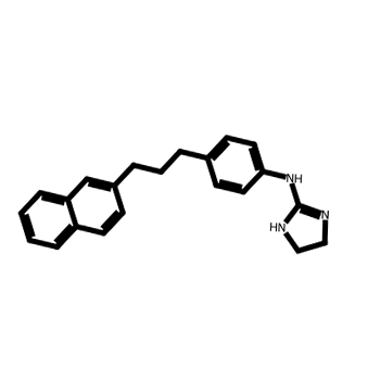 c1ccc2cc(CCCc3ccc(NC4=NCCN4)cc3)ccc2c1